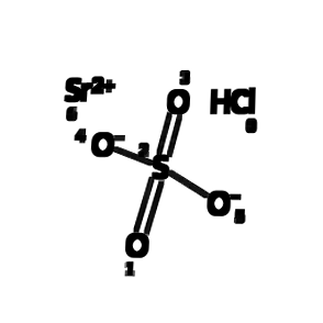 Cl.O=S(=O)([O-])[O-].[Sr+2]